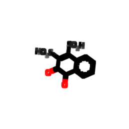 O=C1C(=O)c2ccccc2C(S(=O)(=O)O)=C1S(=O)(=O)O